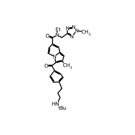 CCN(Cc1nnn(C)n1)C(=O)c1ccn2c(C(=O)c3ccc(CCCNC(C)(C)C)cc3)c(C)cc2c1